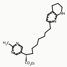 CCOC(=O)[C@H](CCCCCCCc1ccc2c(n1)NCCC2)c1cnc(C)nc1